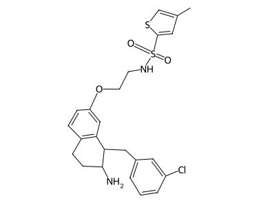 Cc1csc(S(=O)(=O)NCCOc2ccc3c(c2)C(Cc2cccc(Cl)c2)C(N)CC3)c1